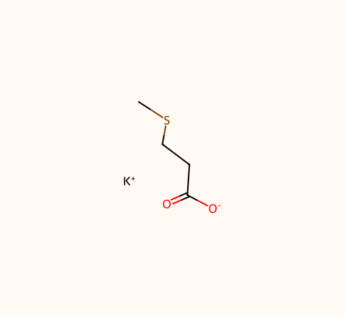 CSCCC(=O)[O-].[K+]